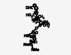 CNCCCC(NC)C(=O)Nc1ccc(COC(=O)N(CCCP(O)O)CCOCCOC23CC(C)(CN/C(C)=C(\C=N)c4ccc(N5CCc6cccc(C=O)c6C5)nc4C(=O)O)CC(C)(C2)C(C)(C)C3)cc1